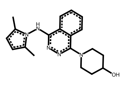 Cc1ccc(C)n1Nc1nnc(N2CCC(O)CC2)c2ccccc12